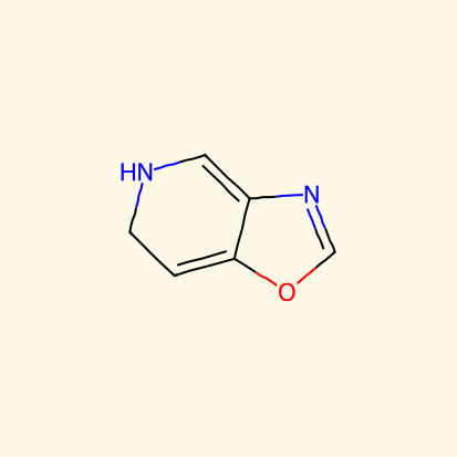 C1=c2ncoc2=CCN1